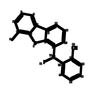 Cc1cccc2c1sc1c(N(I)c3ccccc3C#N)cccc12